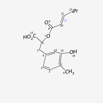 Cc1ccc(CC(OC(=O)/C=C/C(C)C)C(=O)O)cc1O